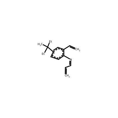 C=C/C=N\c1ccc(C(C)(CC)CC)cc1C=C